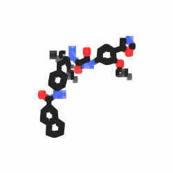 COc1cc(NC(=O)C(=O)NC(C)(C)Cc2ccc(NC(=O)c3ccc4ccccc4c3)cc2)ccc1-c1cnco1